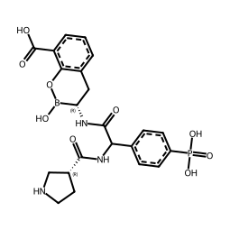 O=C(O)c1cccc2c1OB(O)[C@@H](NC(=O)C(NC(=O)[C@@H]1CCNC1)c1ccc(P(=O)(O)O)cc1)C2